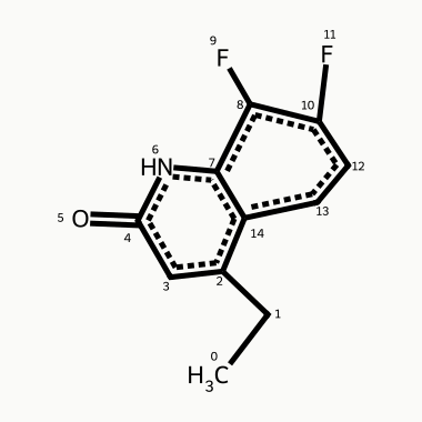 CCc1cc(=O)[nH]c2c(F)c(F)ccc12